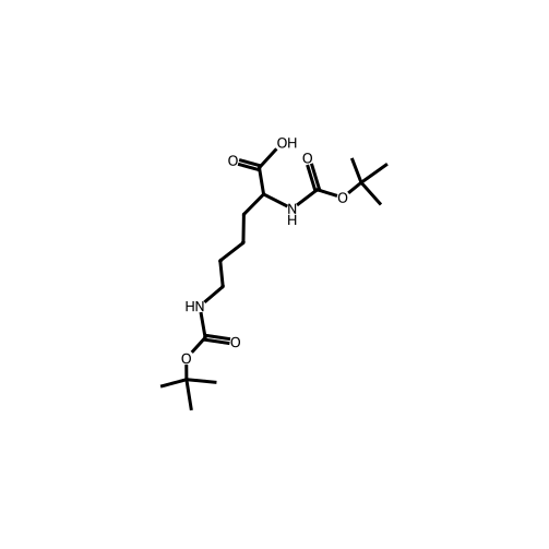 CC(C)(C)OC(=O)NCCCCC(NC(=O)OC(C)(C)C)C(=O)O